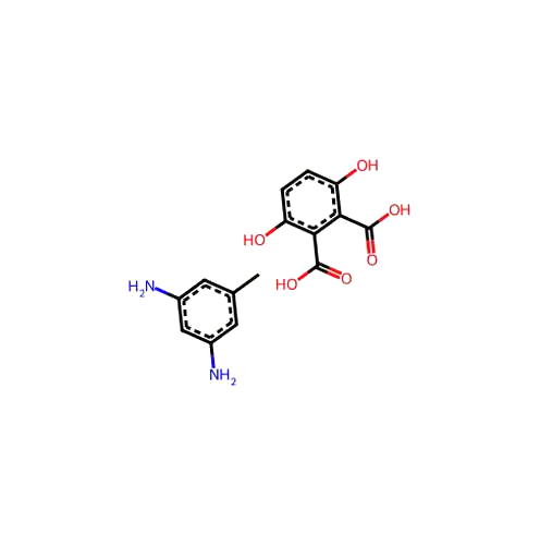 Cc1cc(N)cc(N)c1.O=C(O)c1c(O)ccc(O)c1C(=O)O